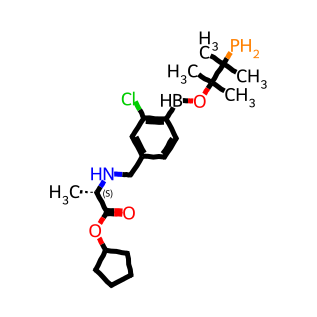 C[C@H](NCc1ccc(BOC(C)(C)C(C)(C)P)c(Cl)c1)C(=O)OC1CCCC1